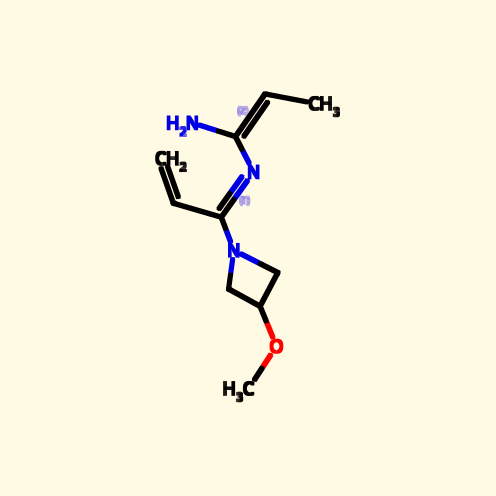 C=C/C(=N\C(N)=C/C)N1CC(OC)C1